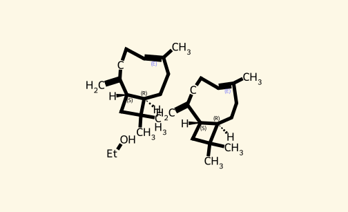 C=C1CC/C=C(\C)CC[C@@H]2[C@@H]1CC2(C)C.C=C1CC/C=C(\C)CC[C@@H]2[C@@H]1CC2(C)C.CCO